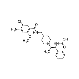 COc1cc(N)c(Cl)cc1C(=O)NCC1CCN(C(C)C(NC(=O)O)c2ccccc2)CC1